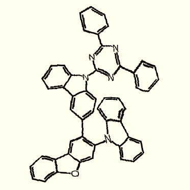 c1ccc(-c2nc(-c3ccccc3)nc(-n3c4ccccc4c4cc(-c5cc6c(cc5-n5c7ccccc7c7ccccc75)oc5ccccc56)ccc43)n2)cc1